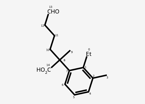 CCc1c(C)cccc1C(C)(CCCC=O)C(=O)O